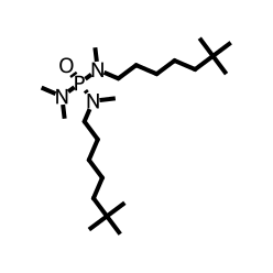 CN(C)P(=O)(N(C)CCCCCC(C)(C)C)N(C)CCCCCC(C)(C)C